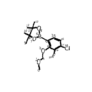 COCOc1c(B2OC(C)(C)C(C)(C)O2)ccc(Cl)c1F